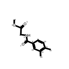 COC(=O)CNC(=O)c1ccc(C)c(C)c1